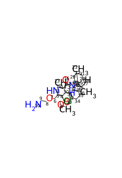 COC(=O)C1=C(COCCN)NC(C)=C(C(=O)N[C@@]23C[C@@H]4C[C@@](C)(C[C@@](C)(C4)C2)C3)C1C1=C(Cl)CCC=C1